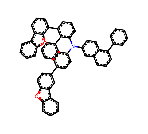 c1ccc(-c2c(-c3cccc4c3oc3ccccc34)cccc2N(c2ccc(-c3ccc4oc5ccccc5c4c3)cc2)c2ccc3c(-c4ccccc4)cccc3c2)cc1